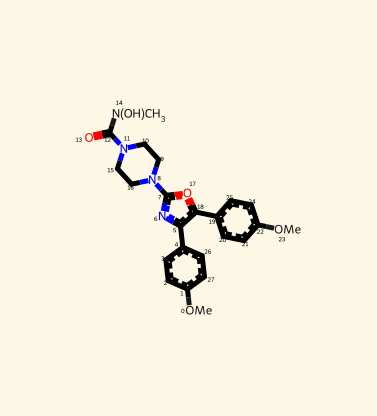 COc1ccc(-c2nc(N3CCN(C(=O)N(C)O)CC3)oc2-c2ccc(OC)cc2)cc1